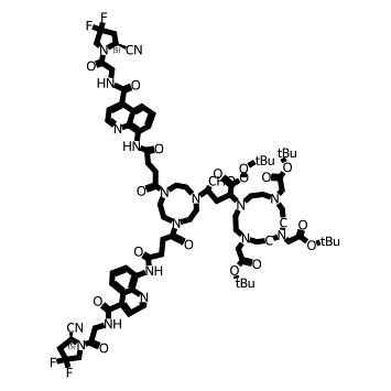 CC(C)(C)OOC(=O)C(CC(C=O)N1CCN(C(=O)CCC(=O)Nc2cccc3c(C(=O)NCC(=O)N4CC(F)(F)C[C@H]4C#N)ccnc23)CCN(C(=O)CCC(=O)Nc2cccc3c(C(=O)NCC(=O)N4CC(F)(F)C[C@H]4C#N)ccnc23)CC1)N1CCN(CC(=O)OC(C)(C)C)CCN(CC(=O)OC(C)(C)C)CCN(CC(=O)OC(C)(C)C)CC1